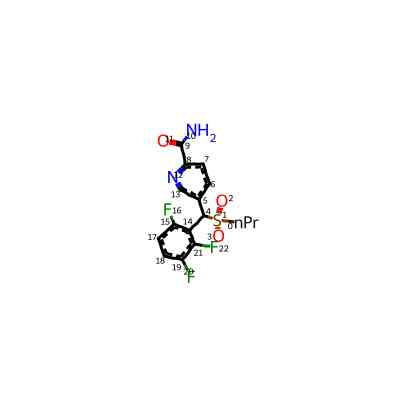 CCCS(=O)(=O)C(c1ccc(C(N)=O)nc1)c1c(F)ccc(F)c1F